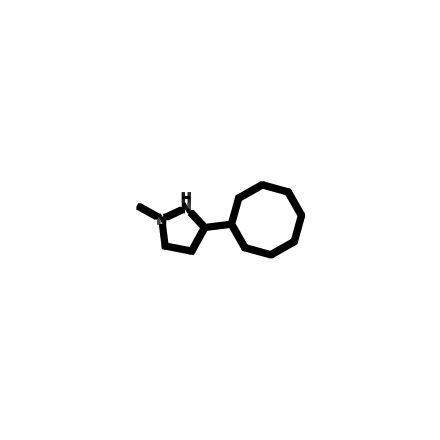 CN1CCC(C2CCCCCCC2)N1